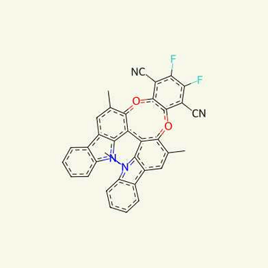 Cc1cc2c3ccccc3n(C)c2c2c1oc1c(C#N)c(F)c(F)c(C#N)c1oc1c(C)cc3c4ccccc4n(C)c3c12